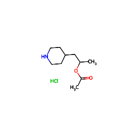 CC(=O)OC(C)CC1CCNCC1.Cl